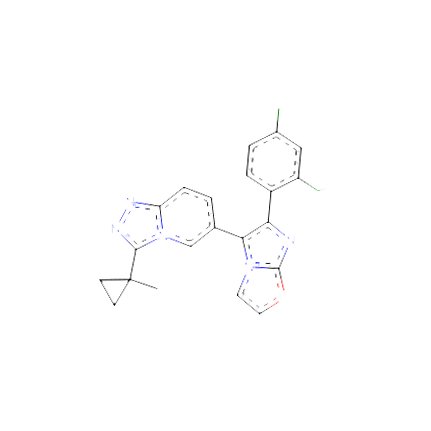 CC1(c2nnc3ccc(-c4c(-c5ccc(F)cc5F)nc5occn45)cn23)CC1